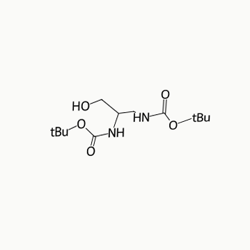 CC(C)(C)OC(=O)NCC(CO)NC(=O)OC(C)(C)C